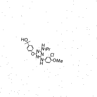 COc1ccc(Nc2nc(NC(C)C)nc(Oc3ccc(C(C)(C)O)cc3)n2)cc1Cl